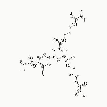 C=C(C)C(=O)OCCCOC(=O)c1cc(C(=O)OCCCOC(=O)C(=C)C)cc(-c2ccc(OC(=O)C(=C)C)c(F)c2)c1